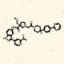 COC[C@@]1(C(=O)Nc2ccc3[nH]nc(-c4ccnc(C(F)F)c4)c3c2)CCN(CC(=O)N2CCC(F)(c3ccc(-c4ncccn4)cc3)CC2)C1